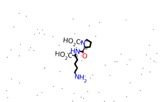 NCCCC[C@H](NC(=O)[C@@H]1CCCN1C(=O)O)C(=O)O